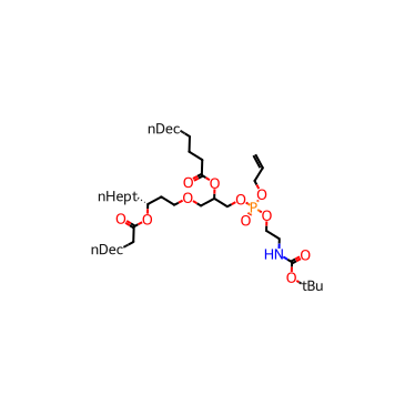 C=CCOP(=O)(OCCNC(=O)OC(C)(C)C)OCC(COCC[C@@H](CCCCCCC)OC(=O)CCCCCCCCCCC)OC(=O)CCCCCCCCCCCCC